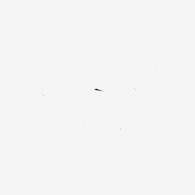 CCCCCCCP(=O)(O)O[C@@H](CCCCN)C(=O)N1CCC[C@H]1C(=O)O